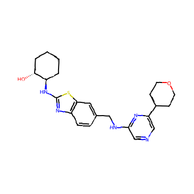 O[C@@H]1CCCC[C@H]1Nc1nc2ccc(CNc3cncc(C4CCOCC4)n3)cc2s1